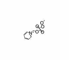 COOS(=O)(=O)OC[n+]1ccccc1